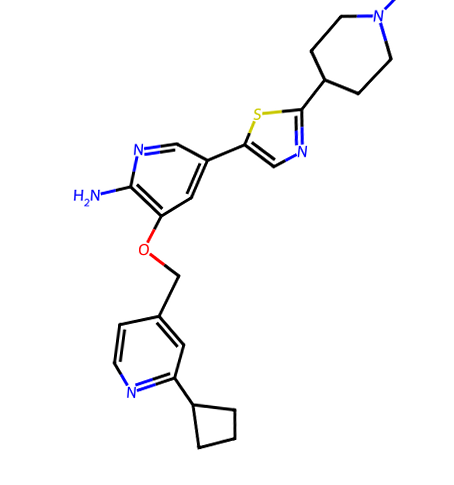 CN1CCC(c2ncc(-c3cnc(N)c(OCc4ccnc(C5CCC5)c4)c3)s2)CC1